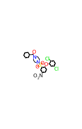 O=C(c1ccccc1)N1CCN(S(=O)(=O)c2cc([N+](=O)[O-])ccc2Oc2cc(Cl)ccc2Cl)CC1